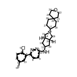 Fc1ccc(Cl)c(-c2ccc(NC3C[C@@H]4CN(C5CCC6(CCOCC6)CC5)C[C@@H]4C3)nn2)c1